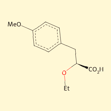 CCO[C@@H](Cc1ccc(OC)cc1)C(=O)O